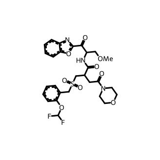 COCC(NC(=O)C(CC(=O)N1CCOCC1)CS(=O)(=O)Cc1ccccc1OC(F)F)C(=O)c1nc2ccccc2o1